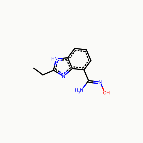 CCc1nc2c(/C(N)=N/O)cccc2[nH]1